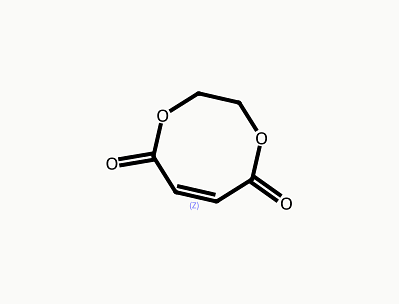 O=C1/C=C\C(=O)OCCO1